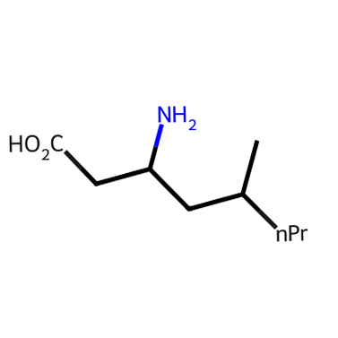 CCCC(C)CC(N)CC(=O)O